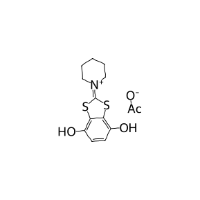 CC(=O)[O-].Oc1ccc(O)c2sc(=[N+]3CCCCC3)sc12